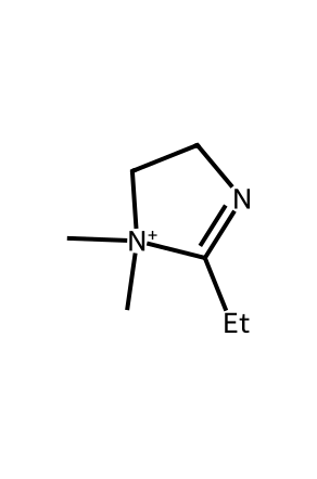 CCC1=NCC[N+]1(C)C